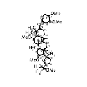 CO[C@H]1C[C@@]2(C)[C@@H]3C[C@H](OC)[C@H]4C(C)(C)C(O[C@H]5C[C@@H](OC)[C@H](OC)CO5)CC[C@@]45CC35CC[C@]2(C)[C@H]1[C@@]1(C)CC[C@@H](C(C)(C)OC)O1